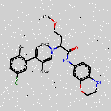 COC(=C/N(C)C(CCOC(C)(C)C)C(=O)Nc1ccc2c(c1)OCCN2)/C(=C\C=O)c1cc(Cl)ccc1C(C)=O